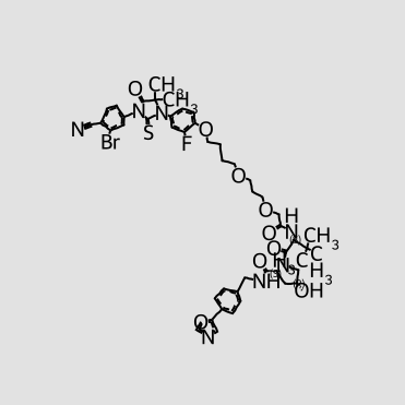 CC(C)(C)[C@H](NC(=O)COCCCOCCCCOc1ccc(N2C(=S)N(c3ccc(C#N)c(Br)c3)C(=O)C2(C)C)cc1F)C(=O)N1C[C@H](O)C[C@H]1C(=O)NCc1ccc(-c2cnco2)cc1